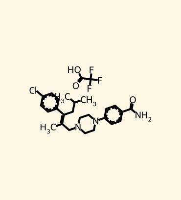 CC(CN1CCN(c2ccc(C(N)=O)cc2)CC1)=C(CC(C)C)c1ccc(Cl)cc1.O=C(O)C(F)(F)F